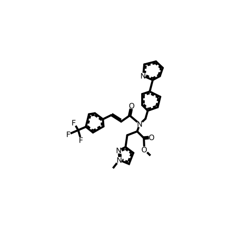 COC(=O)C(Cc1ccn(C)n1)N(Cc1ccc(-c2ccccn2)cc1)C(=O)C=Cc1ccc(C(F)(F)F)cc1